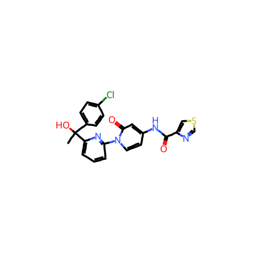 CC(O)(c1ccc(Cl)cc1)c1cccc(-n2ccc(NC(=O)c3cscn3)cc2=O)n1